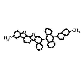 Cc1ccc2cc(-c3c4ccccc4c(-c4cc5oc6c(ccc7c8cc(C)ccc8oc76)c5c5ccccc45)c4ccccc34)ccc2c1